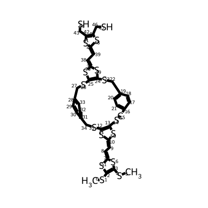 CSC1=C(SC)SC(=CC=C2SC3=C(SCc4ccc(cc4)CSC4=C(SCc5ccc(cc5)CS3)SC(=CC=C3SC(CS)=C(CS)S3)S4)S2)S1